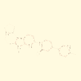 Cc1ccc(-c2ccn(-c3ccc4c5c(n(C)c4n3)CCN3CCCC53)c(=O)c2)cn1